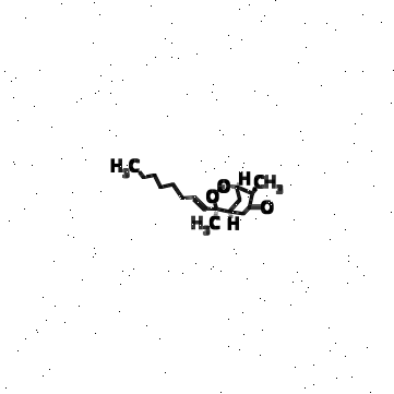 CCCCCCC=C[C@@]1(C)OO[C@@H]2C[C@H]1CC(=O)[C@@H]2C